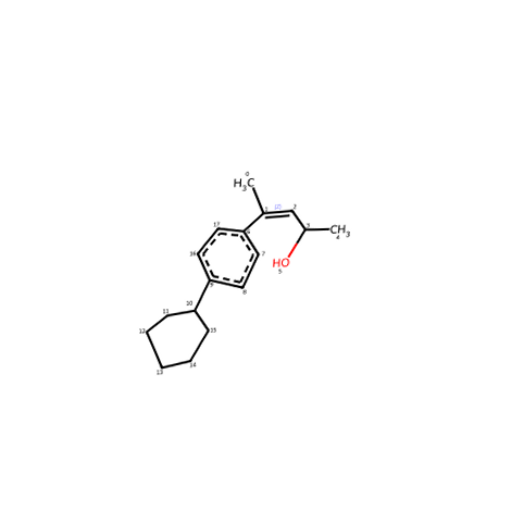 C/C(=C/C(C)O)c1ccc(C2CCCCC2)cc1